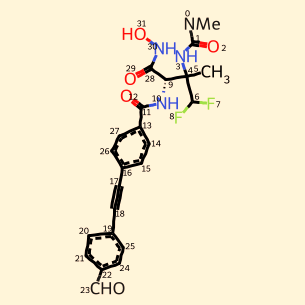 CNC(=O)NC(C)(C(F)F)[C@H](NC(=O)c1ccc(C#Cc2ccc(C=O)cc2)cc1)C(=O)NO